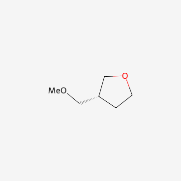 COC[C@H]1CCOC1